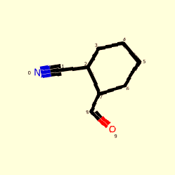 N#CC1CCCCC1[C]=O